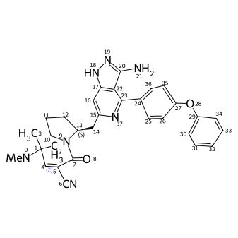 CNC(C)(C)/C=C(/C#N)C(=O)N1CCC[C@H]1Cc1cc2[nH]nc(N)c2c(-c2ccc(Oc3ccccc3)cc2)n1